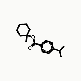 CC(C)c1ccc(C(=O)OC2(C)CCCCC2)cc1